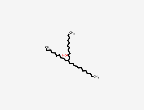 CCCCCCCCCCCCC(CCCCCCCCCC)CC(O)CCCCCCCCC